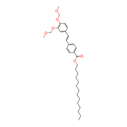 CCCCCCCCCCCCCCOC(=O)c1ccc(C=Cc2ccc(OCOC)c(OCOC)c2)cc1